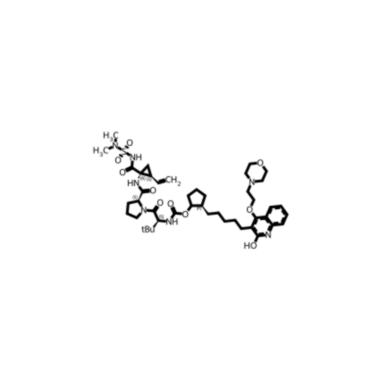 C=C[C@@H]1C[C@]1(NC(=O)[C@@H]1CCCN1C(=O)[C@@H](NC(=O)OC1CCC[C@H]1CCCCCc1c(O)nc2ccccc2c1OCCN1CCOCC1)C(C)(C)C)C(=O)NS(=O)(=O)N(C)C